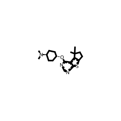 CN(C)[C@H]1CC[C@H](Oc2ncnc3sc4c(c23)C(C)(C)CC4)CC1